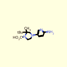 CC(C)(C)C1(C)CN(c2ccc(N)nc2)CCN1C(=O)O